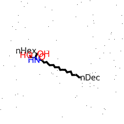 CCCCCCCCCCCCCCCCCCCCCCCC(=O)N[C@@H](CO)[C@H](O)CCCCCC